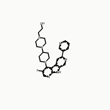 OCCN1CCN(C2CCN(c3c(F)cnc4[nH]c5cnc(-c6cccnc6)cc5c34)CC2)CC1